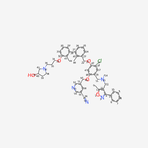 Cc1onc(-c2ccccc2)c1CN(C)Cc1cc(Cl)c(OCc2cccc(-c3cccc(OCCCN4CCC(O)C4)c3C)c2C)cc1OCc1cncc(C#N)c1